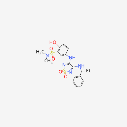 CC[C@@H](NC1=NS(=O)(=O)N=C1Nc1ccc(O)c(S(=O)(=O)N(C)C)c1)c1ccccc1